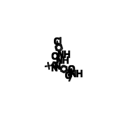 CCOS(=N)(=O)c1ccc(-n2nc(C(C)(C)C)cc2NC(=O)Nc2ccc(Cl)cc2)cc1